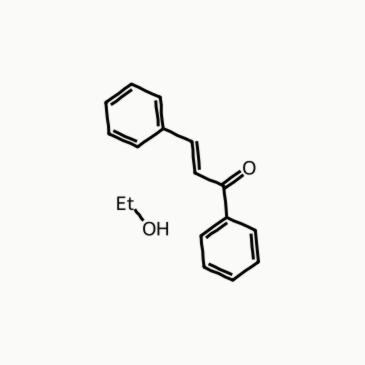 CCO.O=C(C=Cc1ccccc1)c1ccccc1